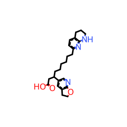 O=C(O)CC(CCCCCCc1ccc2c(n1)NCCC2)c1cnc2c(c1)CCO2